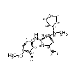 COc1ccc(Nc2nc(N)nc(N(C)C3CCOCC3)n2)cc1F